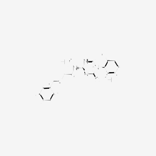 Cc1cccc(C)c1-n1cnc(N(C)CCOCc2ccccc2)nc1=O